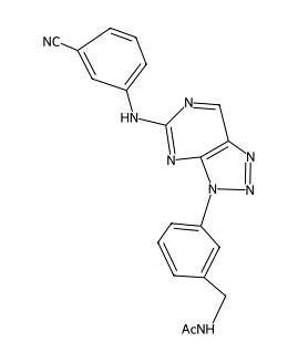 CC(=O)NCc1cccc(-n2nnc3cnc(Nc4cccc(C#N)c4)nc32)c1